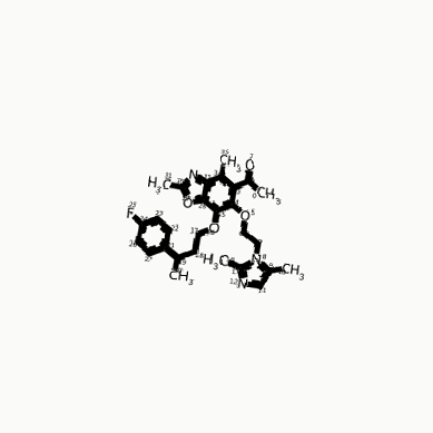 CC(=O)c1c(OCCn2c(C)cnc2C)c(OCCC(C)c2ccc(F)cc2)c2oc(C)nc2c1C